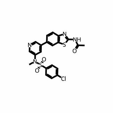 CC(=O)Nc1nc2ccc(-c3cncc(N(C)S(=O)(=O)c4ccc(Cl)cc4)c3)cc2s1